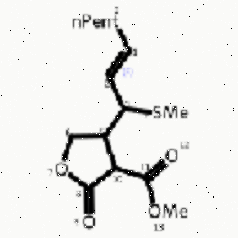 CCCCC/C=C/C(SC)C1COC(=O)C1C(=O)OC